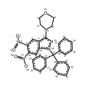 O=[N+]([O-])c1cc2c(N3CCOCC3)nn(C(c3ccccc3)(c3ccccc3)c3ccccc3)c2cc1[N+](=O)[O-]